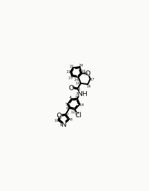 O=C(Nc1ccc(-c2cnco2)c(Cl)c1)C1CCOc2ccccc21